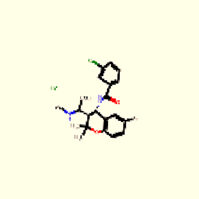 CC(=O)c1ccc2c(c1)[C@@H](NC(=O)c1cccc(Cl)c1)[C@H](C(NC(C)C)C(=O)O)C(C)(C)O2.Cl